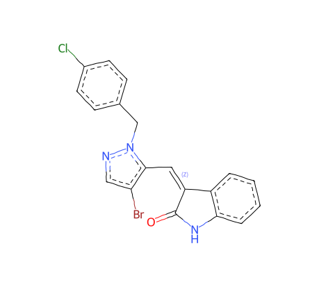 O=C1Nc2ccccc2/C1=C/c1c(Br)cnn1Cc1ccc(Cl)cc1